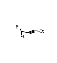 CCC#CC(CC)CC